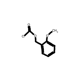 COc1ccccc1COC(=O)Cl